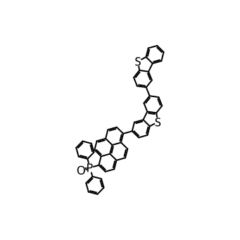 O=P(c1ccccc1)(c1ccccc1)c1ccc2ccc3c(-c4ccc5sc6ccc(-c7ccc8sc9ccccc9c8c7)cc6c5c4)ccc4ccc1c2c43